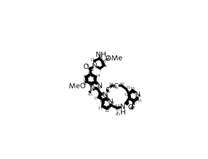 COc1cc(C(=O)N2CC[C@@H](OC)[C@@H](N)C2)cc2nc(-c3cc4ccc5nc4n3CCCCCc3cncc(F)c3C(=O)N[C@@H]5C)n(C)c12